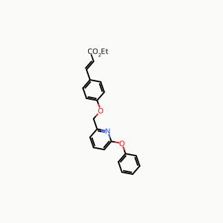 CCOC(=O)C=Cc1ccc(OCc2cccc(Oc3ccccc3)n2)cc1